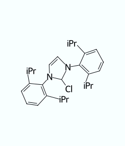 CC(C)c1cccc(C(C)C)c1N1C=CN(c2c(C(C)C)cccc2C(C)C)C1Cl